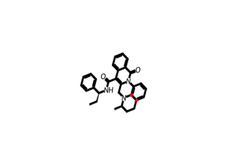 CC[C@H](NC(=O)c1c(CN2C(C)CCCC2C)n(-c2ccccc2)c(=O)c2ccccc12)c1ccccc1